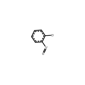 O=[S+]c1ccccc1Cl